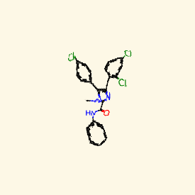 Cn1c(C(=O)Nc2ccccc2)nc(-c2ccc(Cl)cc2Cl)c1-c1ccc(Cl)cc1